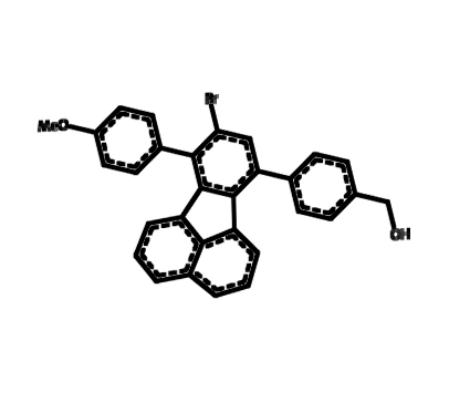 COc1ccc(-c2c(Br)cc(-c3ccc(CO)cc3)c3c2-c2cccc4cccc-3c24)cc1